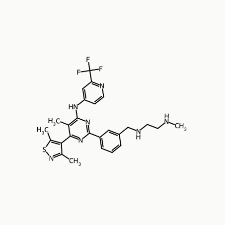 CNCCNCc1cccc(-c2nc(Nc3ccnc(C(F)(F)F)c3)c(C)c(-c3c(C)nsc3C)n2)c1